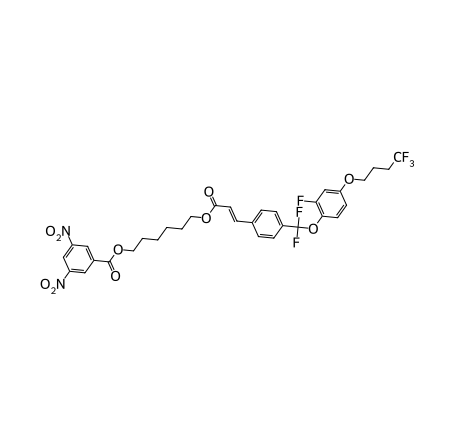 O=C(C=Cc1ccc(C(F)(F)Oc2ccc(OCCCC(F)(F)F)cc2F)cc1)OCCCCCCOC(=O)c1cc([N+](=O)[O-])cc([N+](=O)[O-])c1